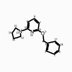 c1ccc(COc2cccc(N3CCCC3)n2)cc1